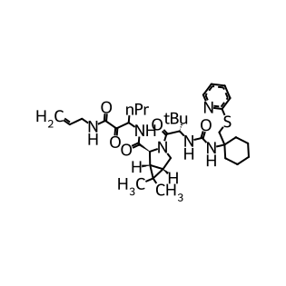 C=CCNC(=O)C(=O)C(CCC)NC(=O)[C@@H]1[C@@H]2[C@H](CN1C(=O)[C@@H](NC(=O)NC1(CSc3ccccn3)CCCCC1)C(C)(C)C)C2(C)C